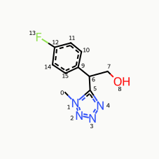 Cn1nnnc1C(CO)c1ccc(F)cc1